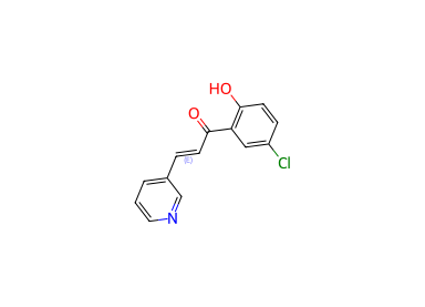 O=C(/C=C/c1cccnc1)c1cc(Cl)ccc1O